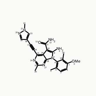 COc1ccc(C)c(-n2c(N)c(C(N)=O)c3c(C#Cc4cnn(C)c4)nc(C)nc32)c1C